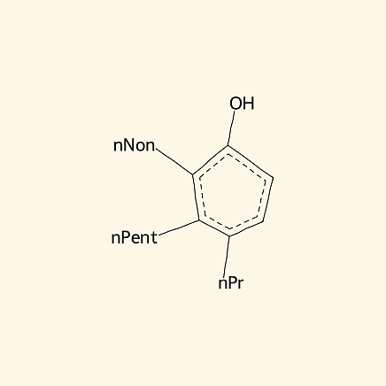 CCCCCCCCCc1c(O)ccc(CCC)c1CCCCC